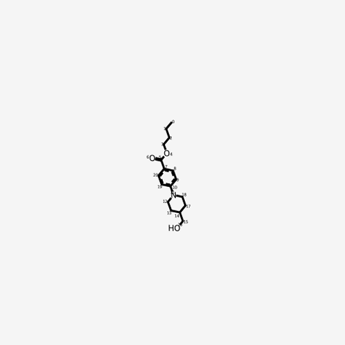 CCCCOC(=O)c1ccc(N2CCC(CO)CC2)cc1